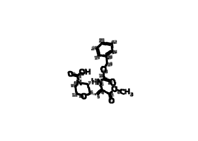 COC(=O)/C(=C/[C@H]1CN(C(=O)O)CCO1)NC(=O)OCc1ccccc1